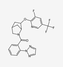 O=C(c1ccccc1-n1nccn1)N1CC2CC(Oc3ncc(C(F)(F)F)cc3F)C1C2